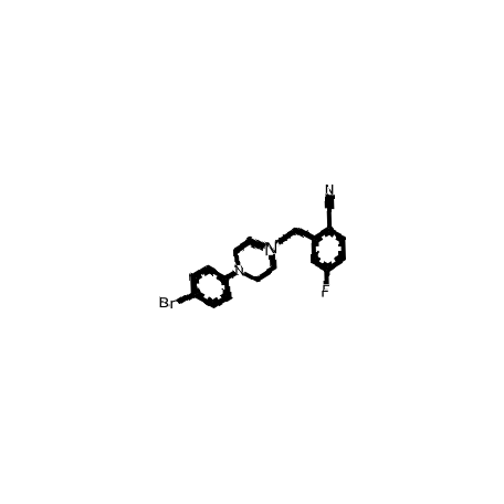 N#Cc1ccc(F)cc1CN1CCN(c2ccc(Br)cc2)CC1